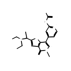 CCN(CC)C(C)c1cc2c(=O)n(C)cc(-c3ccnc(NC(C)=O)c3)c2o1